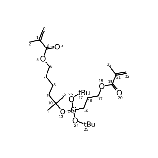 C=C(C)C(=O)OCCCCC(C)(C)O[Si](CCCOC(=O)C(=C)C)(OC(C)(C)C)OC(C)(C)C